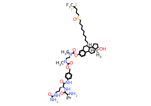 CC(C)[C@H](N)C(=O)N[C@@H](CCCNC(N)=O)C(=O)Nc1ccc(COC(=O)N(C)CCN(C)C(=O)Oc2ccc3c(c2)C[C@@H](CCCCCCCCC[S+]([O-])CCCC(F)(F)C(F)(F)F)[C@@H]2C3CC[C@]3(C)[C@@H](O)CC[C@@H]23)cc1